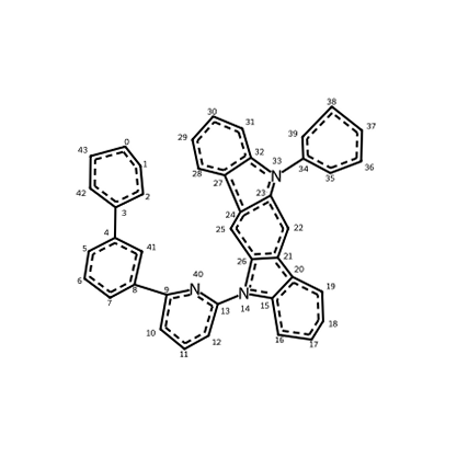 c1ccc(-c2cccc(-c3cccc(-n4c5ccccc5c5cc6c(cc54)c4ccccc4n6-c4ccccc4)n3)c2)cc1